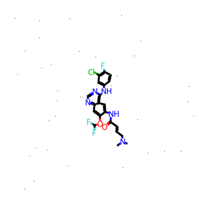 CN(C)CC=CC(=O)Nc1cc2c(Nc3ccc(F)c(Cl)c3)ncnc2cc1OC(F)F